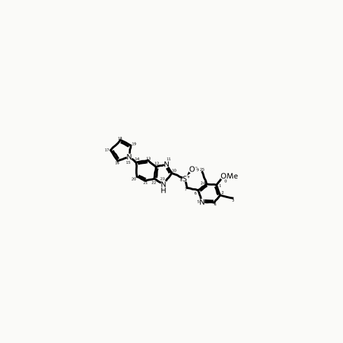 COc1c(C)cnc(C[S@+]([O-])c2nc3cc(-n4cccc4)ccc3[nH]2)c1C